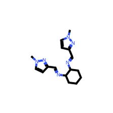 Cn1ccc(/C=N/C2CCCCC2/N=C/c2ccn(C)n2)n1